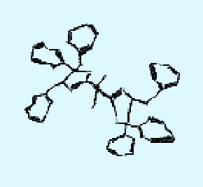 CC(C)(C1=NC(Cc2ccccc2)C(c2ccccc2)(c2ccccc2)O1)C1=NC(Cc2ccccc2)C(c2ccccc2)(c2ccccc2)O1